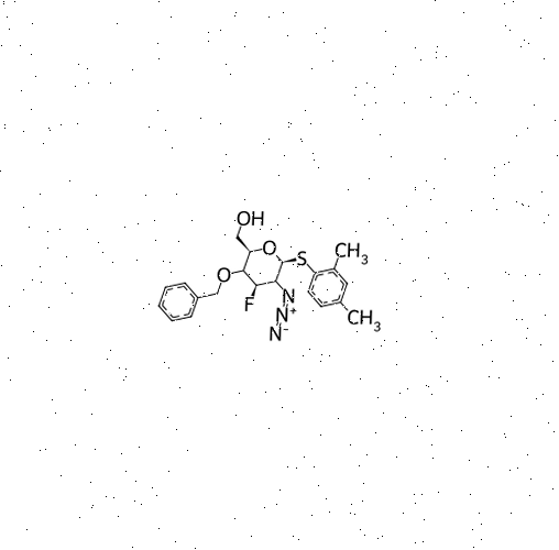 Cc1ccc(S[C@@H]2O[C@H](CO)C(OCc3ccccc3)[C@H](F)C2N=[N+]=[N-])c(C)c1